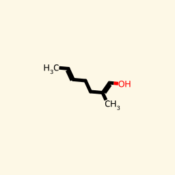 CC=CCCC(C)=CO